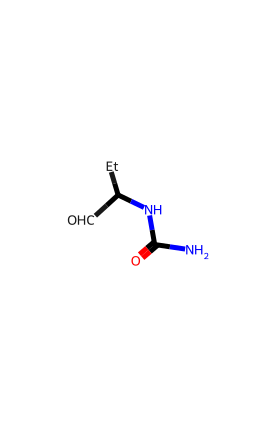 [CH2]CC(C=O)NC(N)=O